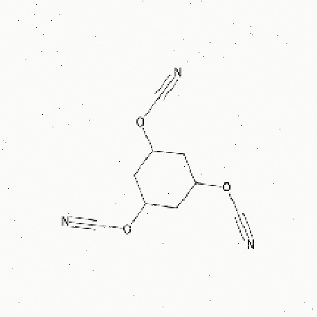 N#COC1CC(OC#N)CC(OC#N)C1